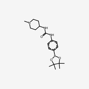 CN1CCC(NC(=O)Nc2ccc(B3OC(C)(C)C(C)(C)O3)cc2)CC1